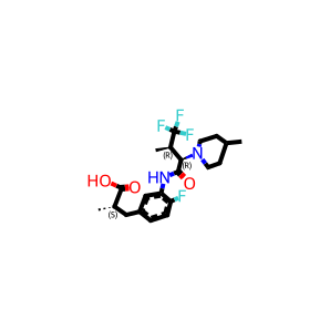 CC1CCN([C@@H](C(=O)Nc2cc(C[C@H](C)C(=O)O)ccc2F)[C@@H](C)C(F)(F)F)CC1